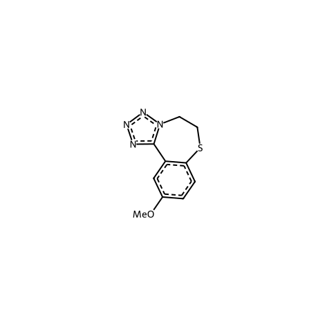 COc1ccc2c(c1)-c1nnnn1CCS2